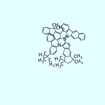 CC(C)(C)c1ccc(N2c3cc4c(c5c3B(c3sc6cc7c(cc6c32)C(C)(C)CCC7(C)C)n2c3cc6ccccc6cc3c3cccc-5c32)C(C)(C)c2ccccc2-4)c(-c2ccccc2)c1